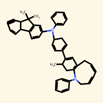 CC1CC2=C(C=C1C1=CCC(N(c3ccccc3)c3ccc4c(c3)C(C)(C)C3C#CC=CC43)C=C1)C/C=C\C=C/CN2c1ccccc1